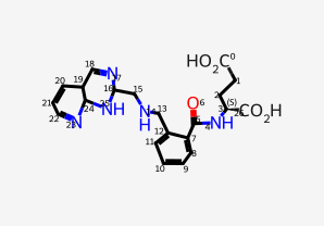 O=C(O)CC[C@H](NC(=O)c1ccccc1CNCC1N=CC2C=CC=NC2N1)C(=O)O